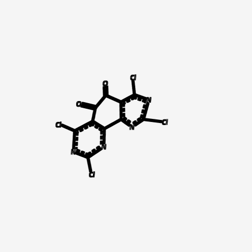 O=C1C(=O)c2c(Cl)nc(Cl)nc2-c2nc(Cl)nc(Cl)c21